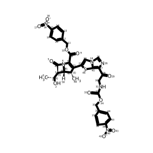 C[C@@H](O)[C@H]1C(=O)N2C(C(=O)OCc3ccc([N+](=O)[O-])cc3)=C(c3cn4cnc(C(=O)CNC(=O)OCc5ccc([N+](=O)[O-])cc5)c4s3)[C@H](C)[C@H]12